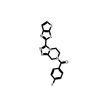 O=C(c1ccc(F)cc1)N1CCn2c(nnc2-c2nc3ccsc3s2)C1